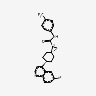 O=C(Nc1ccc(C(F)(F)F)cc1)[C@H]1C[C@]12CC[C@H](c1ccnc3ccc(F)cc31)CC2